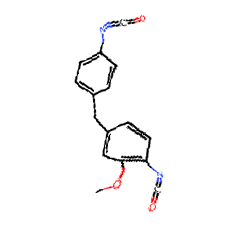 COc1cc(Cc2ccc(N=C=O)cc2)ccc1N=C=O